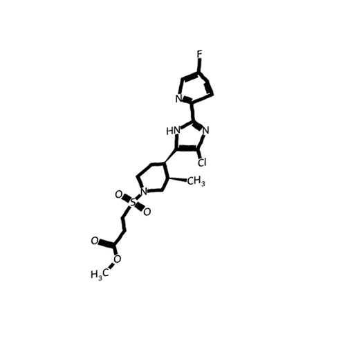 COC(=O)CCS(=O)(=O)N1CC[C@@H](c2[nH]c(-c3ccc(F)cn3)nc2Cl)[C@@H](C)C1